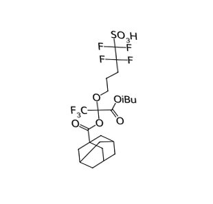 CC(C)COC(=O)C(OCCCC(F)(F)C(F)(F)S(=O)(=O)O)(OC(=O)C12CC3CC(CC(C3)C1)C2)C(F)(F)F